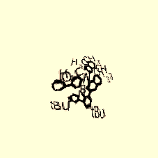 Cc1cc2c(cc1N1c3cc4oc5ccccc5c4cc3B3c4c(cc5ccccc5c41)-c1cc(C(C)(C)C)cc4c5cc(C(C)(C)C)ccc5n3c14)C(C)(C)CCC2(C)C